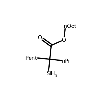 CCCCCCCCOC(=O)C([SiH3])(CCC)C(C)CCC